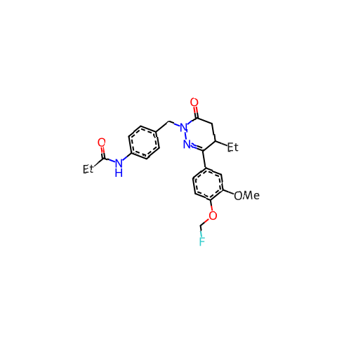 CCC(=O)Nc1ccc(CN2N=C(c3ccc(OCF)c(OC)c3)C(CC)CC2=O)cc1